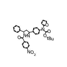 CC(C)(C)OC(=O)N(c1ccc(C2=NN(C(=O)c3ccc([N+](=O)[O-])cc3)C(c3ccccc3)C2)cc1)c1ccco1